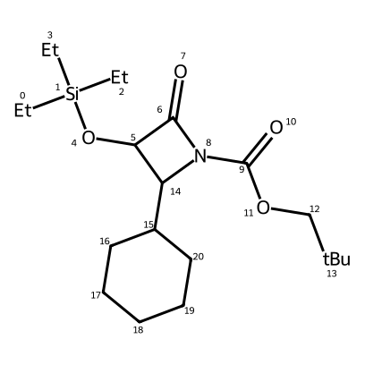 CC[Si](CC)(CC)OC1C(=O)N(C(=O)OCC(C)(C)C)C1C1CCCCC1